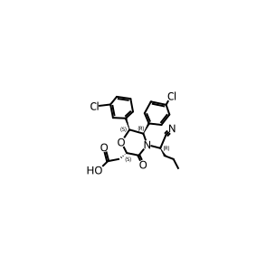 CCC[C@H](C#N)N1C(=O)[C@H](CC(=O)O)O[C@@H](c2cccc(Cl)c2)[C@H]1c1ccc(Cl)cc1